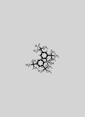 CC(C)(C)c1ccc(P(O)(O)(Cl)c2ccc(C(C)(C)C)cc2C(C)(C)C)c(C(C)(C)C)c1